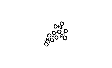 c1ccc(-n2c(-c3cc(-c4cccc5c4-c4ccccc4C54c5ccccc5-c5c(-n6nnc7ccccc76)cccc54)cc(-c4nc5ccccc5n4-c4ccccc4)c3)nc3ccccc32)cc1